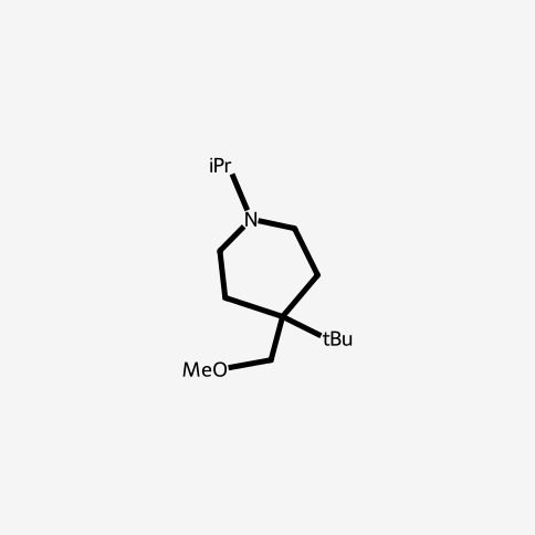 COCC1(C(C)(C)C)CCN(C(C)C)CC1